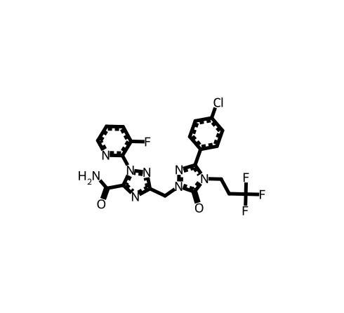 NC(=O)c1nc(Cn2nc(-c3ccc(Cl)cc3)n(CCC(F)(F)F)c2=O)nn1-c1ncccc1F